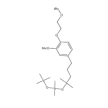 CCC(C)OCCOc1ccc(CCC[Si](C)(C)O[Si](C)(C)O[Si](C)(C)C)cc1OC